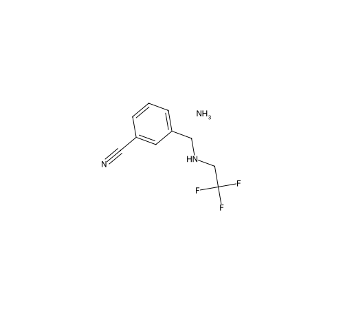 N.N#Cc1cccc(CNCC(F)(F)F)c1